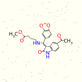 COC(=O)CCCN/C(=C1\C(=O)Nc2ccc(C(C)=O)cc21)c1ccc2c(c1)OCO2